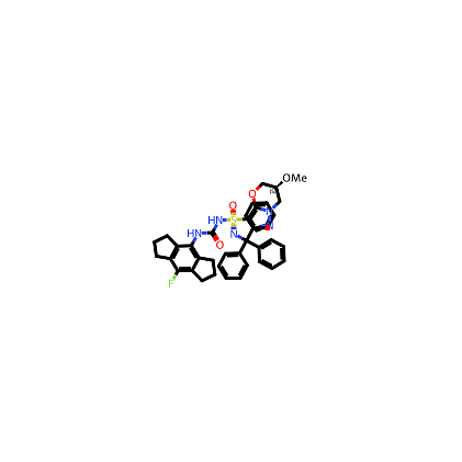 CO[C@@H]1COc2c(S(=O)(=NC(c3ccccc3)(c3ccccc3)c3ccccc3)NC(=O)Nc3c4c(c(F)c5c3CCC5)CCC4)cnn2C1